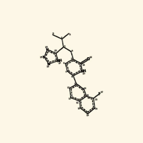 CC(C)C(Cc1ccc(-c2ccc3cccc(F)c3c2)[nH]c1=O)c1nnn[nH]1